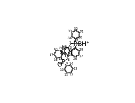 [BH+][P-](Cc1cn(CP(=O)(c2ccccc2)c2ccccc2)nn1)(c1ccccc1)c1ccccc1